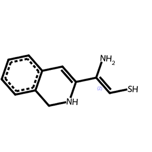 N/C(=C\S)C1=Cc2ccccc2CN1